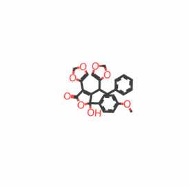 COc1ccc(C2(O)OC(=O)C(C3=COCO3)=C2C(Cc2ccccc2)C2=COCO2)cc1